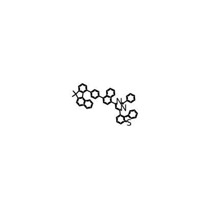 CC1(C)c2cccc(-c3ccc(-c4ccc(-c5cc(-c6cccc7sc8ccccc8c67)nc(-c6ccccc6)n5)c5ccccc45)cc3)c2-c2c1ccc1ccccc21